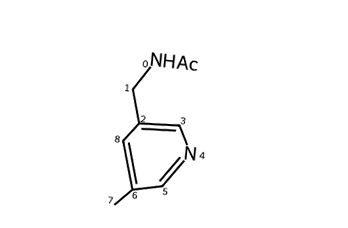 CC(=O)NCc1cncc(C)c1